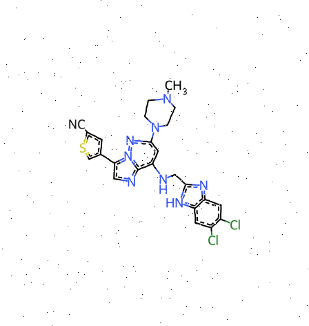 CN1CCN(c2cc(NCc3nc4cc(Cl)c(Cl)cc4[nH]3)c3ncc(-c4csc(C#N)c4)n3n2)CC1